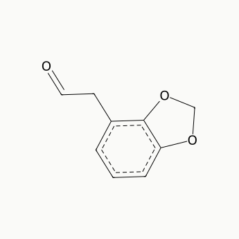 O=CCc1cccc2c1OCO2